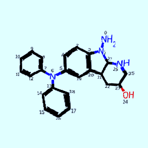 NN1c2ccc(N(c3ccccc3)c3ccccc3)cc2C2CC(O)CNC21